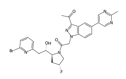 CC(=O)c1nn(CC(=O)N2C[C@H](F)C[C@H]2[C@@H](O)Cc2cccc(Br)n2)c2ccc(-c3cnc(C)nc3)cc12